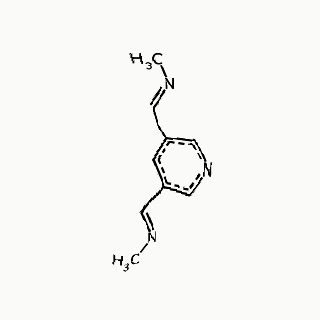 C/N=C/c1cncc(/C=N/C)c1